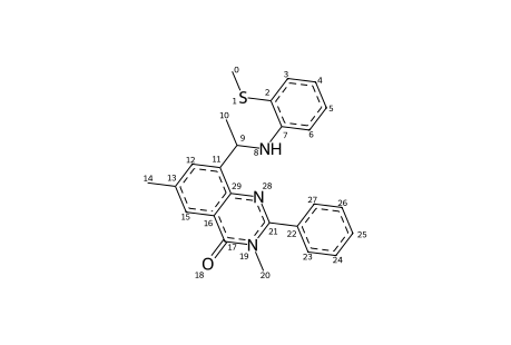 CSc1ccccc1NC(C)c1cc(C)cc2c(=O)n(C)c(-c3ccccc3)nc12